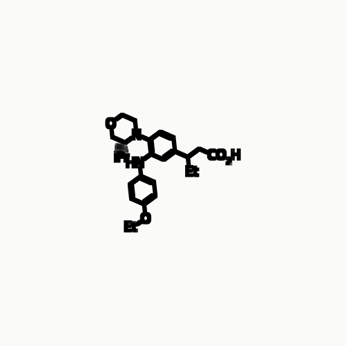 CCOc1ccc(Nc2cc(C(CC)CC(=O)O)ccc2N2CCOC[C@H]2C(C)C)cc1